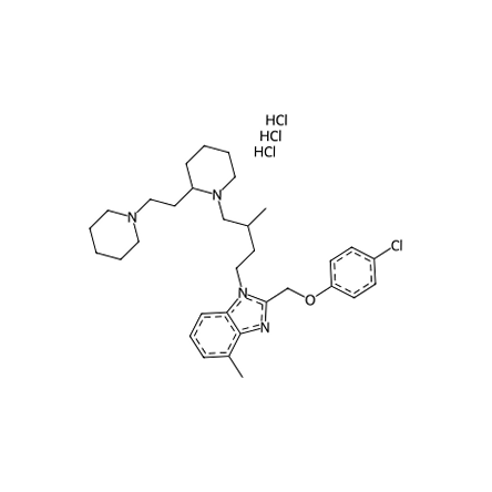 Cc1cccc2c1nc(COc1ccc(Cl)cc1)n2CCC(C)CN1CCCCC1CCN1CCCCC1.Cl.Cl.Cl